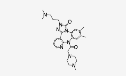 Cc1cc2c(cc1C)-n1c(nn(CCCN(C)C)c1=O)-c1cccnc1N2C(=O)CN1CCN(C)CC1